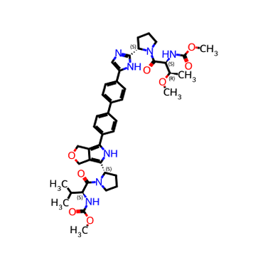 COC(=O)N[C@H](C(=O)N1CCC[C@H]1c1[nH]c(-c2ccc(-c3ccc(-c4cnc([C@@H]5CCCN5C(=O)[C@@H](NC(=O)OC)[C@@H](C)OC)[nH]4)cc3)cc2)c2c1COC2)C(C)C